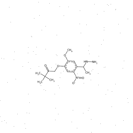 COc1cc(C(C)NN)c([N+](=O)[O-])cc1OCC(=O)C(C)(C)C